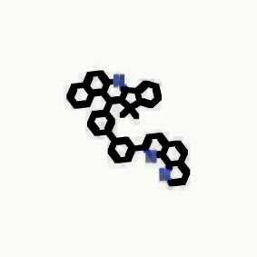 CC1(C)c2ccccc2-c2nc3ccc4ccccc4c3c(-c3cccc(-c4cccc(-c5ccc6ccc7cccnc7c6n5)c4)c3)c21